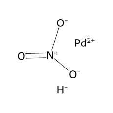 O=[N+]([O-])[O-].[H-].[Pd+2]